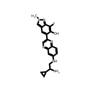 Cn1cc2cc(-c3cnc4cc(NCC(N)C5CC5)ccc4n3)c(O)c(F)c2n1